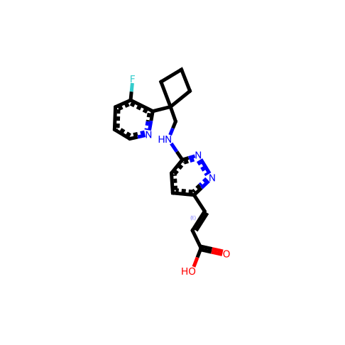 O=C(O)/C=C/c1ccc(NCC2(c3ncccc3F)CCC2)nn1